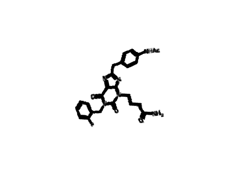 CC(=O)Nc1ccc(CC2=NC3C(=N2)C(=O)N(Cc2ccccc2F)C(=O)N3CCCC(N)=O)cc1